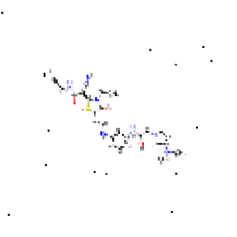 C#CCNC(=O)/C(C#N)=C1\SC(CCNc2cccc(NC(=O)CN3CCC(N(C)C)C3)c2)C(=O)N1CC